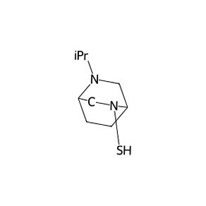 CC(C)N1CC2CCC1CN2S